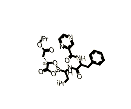 CC(C)CC(NC(=O)C(Cc1ccccc1)NC(=O)c1cnccn1)B1OC(=O)[C@H](CC(=O)OC(C)C)O1